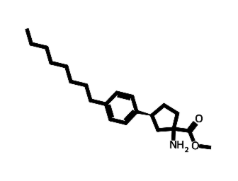 CCCCCCCCc1ccc([C@H]2CCC(N)(C(=O)OC)C2)cc1